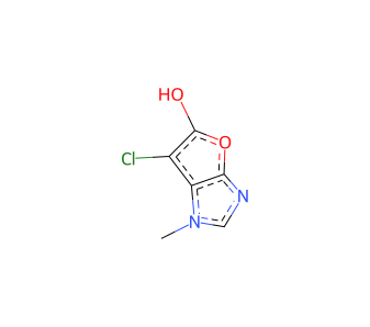 Cn1cnc2oc(O)c(Cl)c21